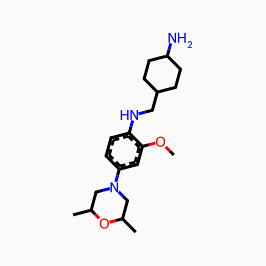 COc1cc(N2CC(C)OC(C)C2)ccc1NCC1CCC(N)CC1